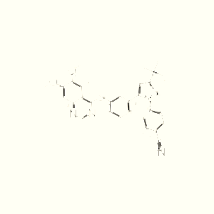 COc1cc2ncnc(Sc3cccc(-c4cc(C(C)(C)C)nn4-c4ccc(C#N)cc4)c3)c2cc1OC